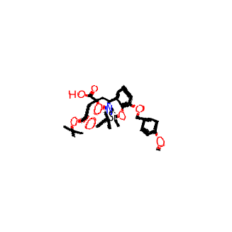 COc1ccc(COc2cccc(C3=NOC(CC(=O)OC(C)(C)C)(C(=O)O)C3)c2O[Si](C)(C)C(C)(C)C)cc1